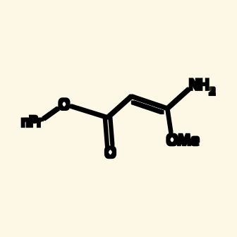 CCCOC(=O)/C=C(/N)OC